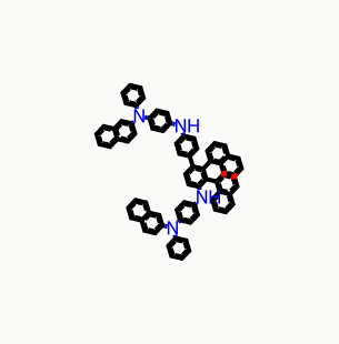 c1ccc(N(c2ccc(Nc3ccc(-c4ccc(Nc5ccc(N(c6ccccc6)c6ccc7ccccc7c6)cc5)c(-c5cccc6ccccc56)c4-c4cccc5ccccc45)cc3)cc2)c2ccc3ccccc3c2)cc1